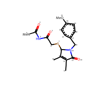 CNC(=O)NC(=O)CSC1C(C)=C(C)C(=O)N1Cc1ccc(OC)cc1